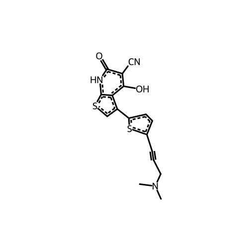 CN(C)CC#Cc1ccc(-c2csc3[nH]c(=O)c(C#N)c(O)c23)s1